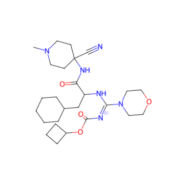 CN1CCC(C#N)(NC(=O)C(CC2CCCCC2)N/C(=N\C(=O)OC2CCC2)N2CCOCC2)CC1